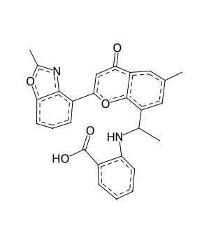 Cc1cc(C(C)Nc2ccccc2C(=O)O)c2oc(-c3cccc4oc(C)nc34)cc(=O)c2c1